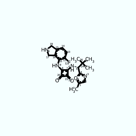 Cc1cnc([C@H](Nc2c(Nc3c(F)ccc4c3CNC4)c(=O)c2=O)C(C)(C)C)o1